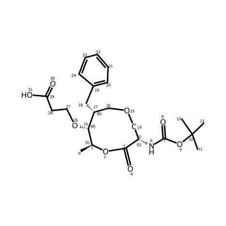 C[C@@H]1OC(=O)[C@@H](NC(=O)OC(C)(C)C)COC[C@@H](Cc2ccccc2)[C@H]1OCCC(=O)O